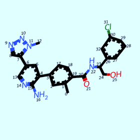 Cc1cc(-c2cc(-c3cnnn3C)cnc2N)ccc1C(=O)NC(CO)c1cccc(Cl)c1